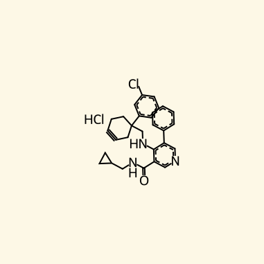 Cl.O=C(NCC1CC1)c1cncc(-c2ccccc2)c1NCC1(c2cccc(Cl)c2)CC#CCC1